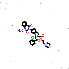 Cn1c(=O)n(-c2ccc(C[C@H](NC(=O)c3c(Cl)cccc3Cl)C(=O)OCCN3CCOCC3)cc2)c(=O)c2ccccc21